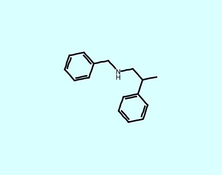 CC(CNCc1ccccc1)c1ccccc1